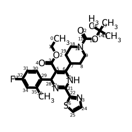 CCOC(=O)C1=C(C2CCN(C(=O)OC(C)(C)C)CC2)NC(c2nccs2)=NC1c1ccc(F)cc1C